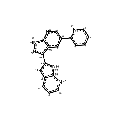 c1ccc(-c2cnc3[nH]nc(-c4cc5cccnc5[nH]4)c3c2)nc1